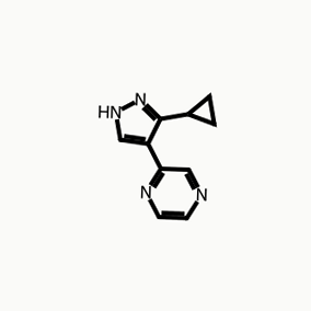 c1cnc(-c2c[nH]nc2C2CC2)cn1